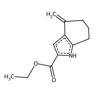 C=C1CCCc2[nH]c(C(=O)OCC)cc21